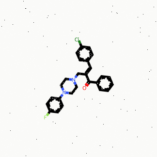 O=C(/C(=C/c1ccc(Cl)cc1)CN1CCN(c2ccc(F)cc2)CC1)c1ccccc1